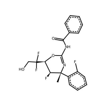 C[C@]1(c2ccccc2F)N=C(NC(=O)c2ccccc2)O[C@H](C(F)(F)CO)[C@@H]1F